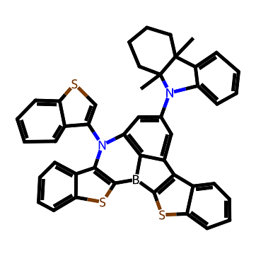 CC12CCCCC1(C)N(c1cc3c4c(c1)N(c1csc5ccccc15)c1c(sc5ccccc15)B4c1sc4ccccc4c1-3)c1ccccc12